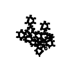 O=P1(c2ccccc2)c2ccccc2C2(c3ccccc3N(c3ccccc3)c3cc(-c4nc(-c5ccccc5)nc(-c5ccccc5)n4)ccc32)c2cc3c(cc21)sc1ccccc13